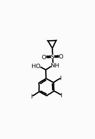 O=S(=O)(NC(O)c1cc(I)cc(I)c1I)C1CC1